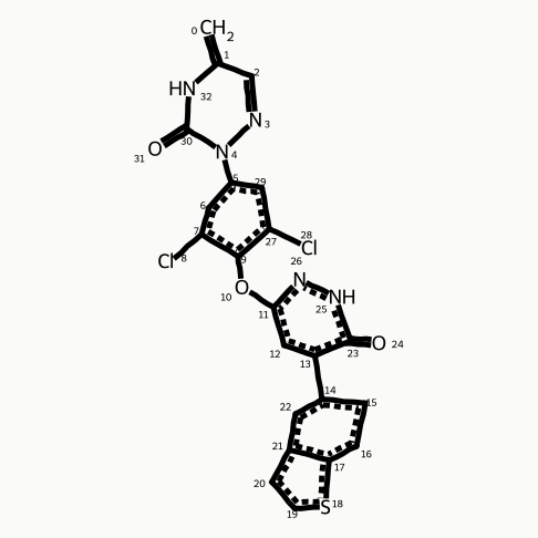 C=C1C=NN(c2cc(Cl)c(Oc3cc(-c4ccc5sccc5c4)c(=O)[nH]n3)c(Cl)c2)C(=O)N1